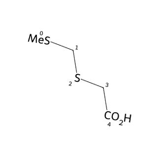 CSCSCC(=O)O